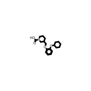 O=C(O)N1CCCC(COc2ccccc2OC2CCCCC2)C1